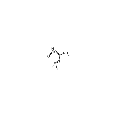 CC=NC(N)=O.[O]=[AlH]